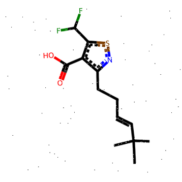 CC(C)(C)C=CCCc1nsc(C(F)F)c1C(=O)O